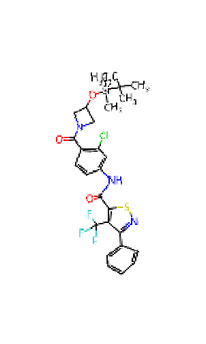 CC(C)(C)[Si](C)(C)OC1CN(C(=O)c2ccc(NC(=O)c3snc(-c4ccccc4)c3C(F)(F)F)cc2Cl)C1